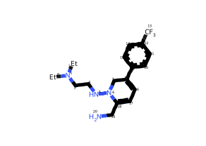 CCN(CC)CCNN1CC(c2ccc(C(F)(F)F)cc2)=CC=C1CN